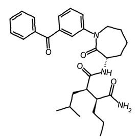 CCC[C@H](C(N)=O)[C@@H](CC(C)C)C(=O)N[C@H]1CCCCN(c2cccc(C(=O)c3ccccc3)c2)C1=O